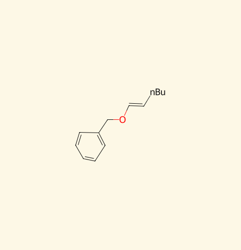 CCCCC=COCc1ccccc1